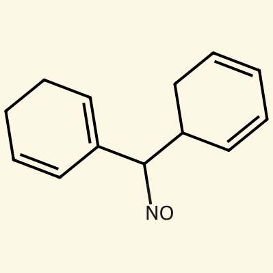 O=NC(C1=CCCC=C1)C1C=CC=CC1